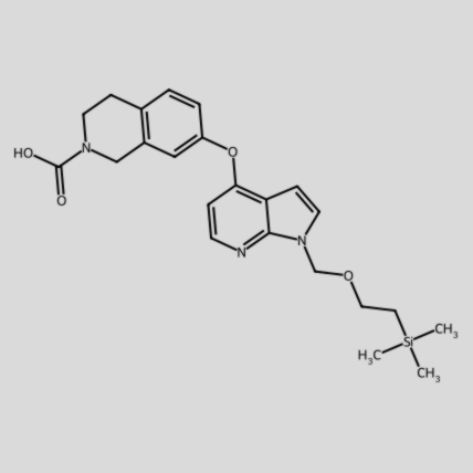 C[Si](C)(C)CCOCn1ccc2c(Oc3ccc4c(c3)CN(C(=O)O)CC4)ccnc21